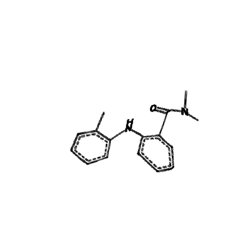 Cc1ccccc1Nc1ccccc1C(=O)N(C)C